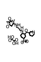 Cn1c(NCCCNc2ccc([N+](=O)[O-])cc2C(=O)c2cccnc2)cc(=O)n(C)c1=O.O=C(O)C(=O)O